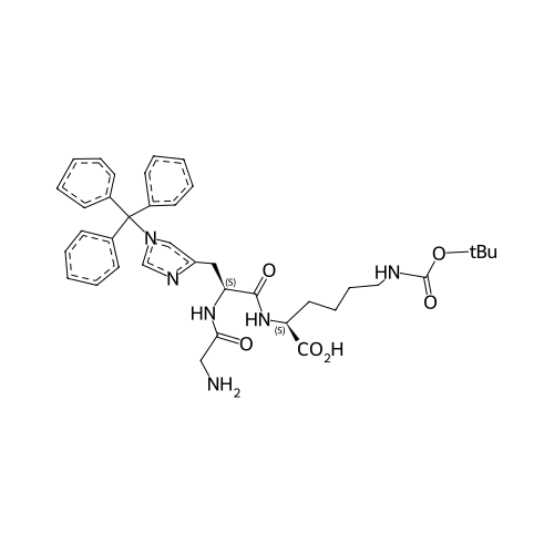 CC(C)(C)OC(=O)NCCCC[C@H](NC(=O)[C@H](Cc1cn(C(c2ccccc2)(c2ccccc2)c2ccccc2)cn1)NC(=O)CN)C(=O)O